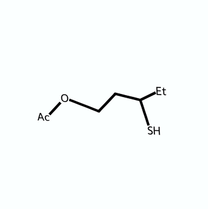 CCC(S)CCOC(C)=O